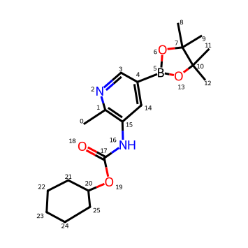 Cc1ncc(B2OC(C)(C)C(C)(C)O2)cc1NC(=O)OC1CCCCC1